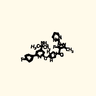 Cc1nn(-c2ncccn2)c(F)c1C(=O)N1C[C@@H]2[C@H](C1)[C@@H]2Oc1cc(C(C)(C)N)cc(-c2ccc(F)cc2)n1